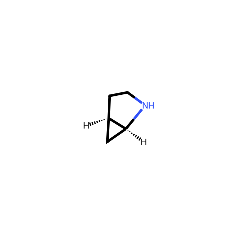 C1C[C@@H]2C[C@@H]2N1